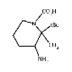 CC(C)(C)C1(C)C(N)CCCN1C(=O)O